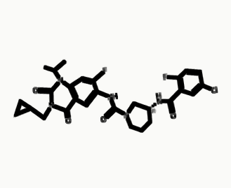 CC(C)n1c(=O)n(CC2CC2)c(=O)c2cc(NC(=O)N3CCC[C@@H](NC(=O)c4cc(Cl)ccc4F)C3)c(F)cc21